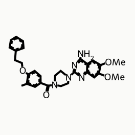 COc1cc2nc(N3CCN(C(=O)c4ccc(OCCc5ccccc5)c(C)c4)CC3)nc(N)c2cc1OC